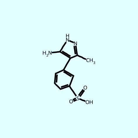 Cc1n[nH]c(N)c1-c1cccc(S(=O)(=O)O)c1